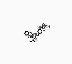 CCc1csc([C@H](CC2=CCC(NS(=O)(=O)O)C=C2)NC(=O)Cc2ccccc2O)n1